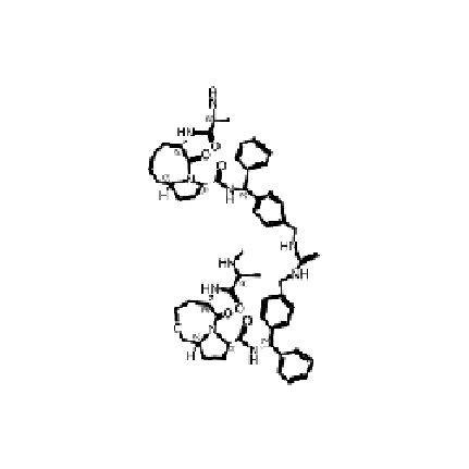 C=C(NCc1ccc([C@@H](NC(=O)[C@@H]2CC[C@@H]3CCCC[C@H](NC(=O)[C@H](C)NC)C(=O)N32)c2ccccc2)cc1)NCc1ccc([C@@H](NC(=O)[C@@H]2CC[C@@H]3CCCC[C@H](NC(=O)[C@H](C)NC)C(=O)N32)c2ccccc2)cc1